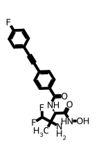 CC(N)(C(F)F)[C@H](NC(=O)c1ccc(C#Cc2ccc(F)cc2)cc1)C(=O)NO